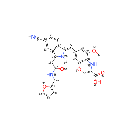 COc1cc(C=C2c3ccc(C#N)cc3C(CC(=O)NCc3ccco3)N2C)cc(OC)c1NCC(=O)O